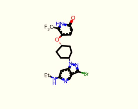 CCNc1cc2c(cn1)c(Br)nn2[C@H]1CC[C@@H](Oc2ccc(=O)[nH]c2C(F)(F)F)CC1